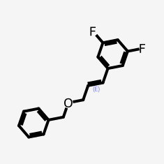 Fc1cc(F)cc(/C=C/COCc2ccccc2)c1